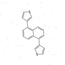 c1cc(-c2ccsc2)c2cccc(-c3ccsc3)c2c1